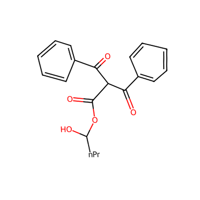 CCCC(O)OC(=O)C(C(=O)c1ccccc1)C(=O)c1ccccc1